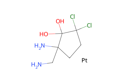 NCC1(N)CCC(Cl)(Cl)C1(O)O.[Pt]